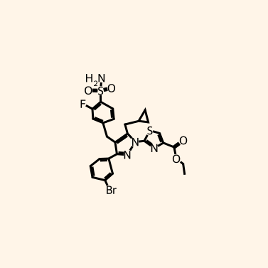 CCOC(=O)c1csc(-n2nc(-c3cccc(Br)c3)c(Cc3ccc(S(N)(=O)=O)c(F)c3)c2CC2CC2)n1